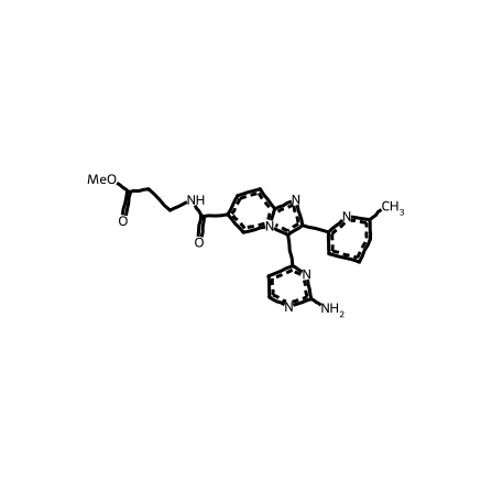 COC(=O)CCNC(=O)c1ccc2nc(-c3cccc(C)n3)c(-c3ccnc(N)n3)n2c1